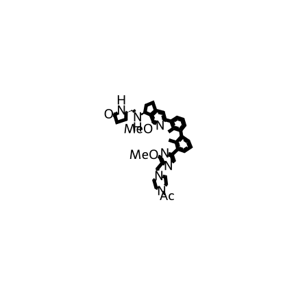 COc1nc(-c2cccc(-c3cccc(-c4cc5c(c(OC)n4)[C@@H](NC[C@@H]4CCC(=O)N4)CC5)c3C)c2C)cnc1CN1CCN(C(C)=O)CC1